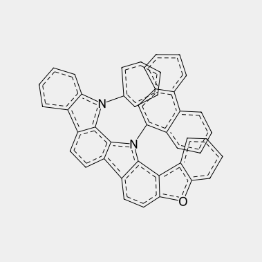 c1ccc(-n2c3ccccc3c3ccc4c5ccc6oc7ccccc7c6c5n(-c5cc6ccccc6c6ccccc56)c4c32)cc1